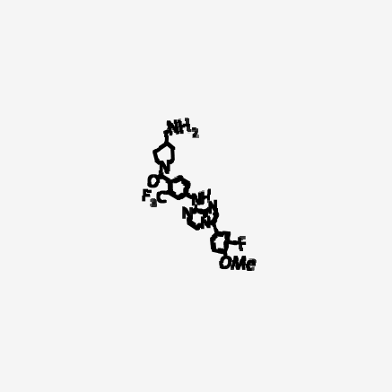 COc1ccc(-c2cnc3c(Nc4ccc(C(=O)N5CCC(CN)CC5)c(C(F)(F)F)c4)nccn23)cc1F